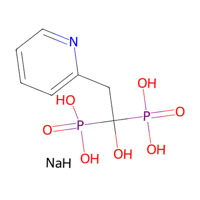 O=P(O)(O)C(O)(Cc1ccccn1)P(=O)(O)O.[NaH]